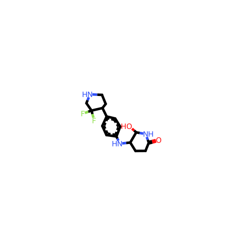 O=C1CCC(Nc2ccc(C3CCNCC3(F)F)cc2)C(O)N1